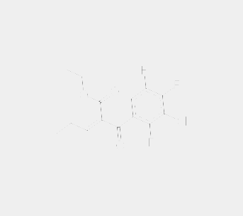 CCC=C(C(=O)OCC)C(=O)c1cc(F)c(F)c(Cl)c1F